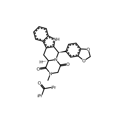 CC(C)C(=O)C(C)C.CN1CC(=O)N2[C@H](c3ccc4c(c3)OCO4)c3[nH]c4ccccc4c3C[C@@H]2C1=O